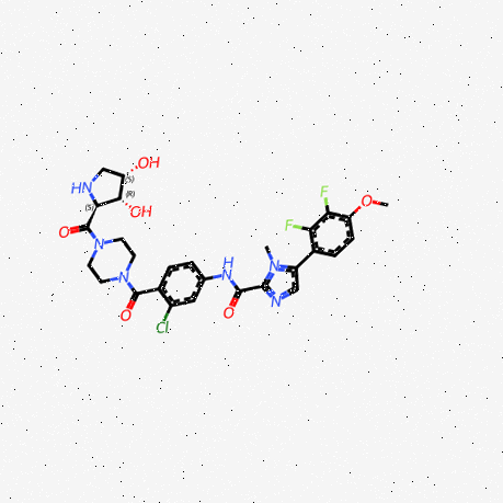 COc1ccc(-c2cnc(C(=O)Nc3ccc(C(=O)N4CCN(C(=O)[C@H]5NC[C@H](O)[C@@H]5O)CC4)c(Cl)c3)n2C)c(F)c1F